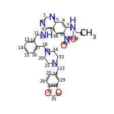 CCNc1cc2ncnc(NCc3ccccc3CN3CCN(Cc4ccc5c(c4)OCO5)CC3)c2cc1[N+](=O)[O-]